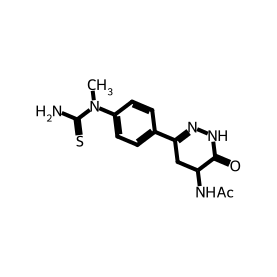 CC(=O)NC1CC(c2ccc(N(C)C(N)=S)cc2)=NNC1=O